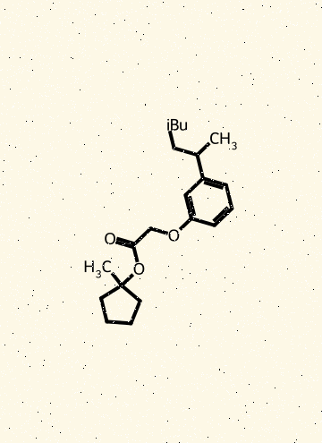 CCC(C)CC(C)c1cccc(OCC(=O)OC2(C)CCCC2)c1